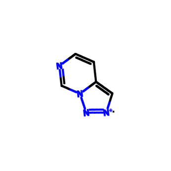 C1=CC2=C[N+]=NN2C=N1